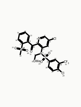 COCN(c1cc(Cl)cnc1C(=O)c1ccccc1S(C)(=O)=O)S(=O)(=O)c1ccc(Cl)c(C(F)(F)F)c1